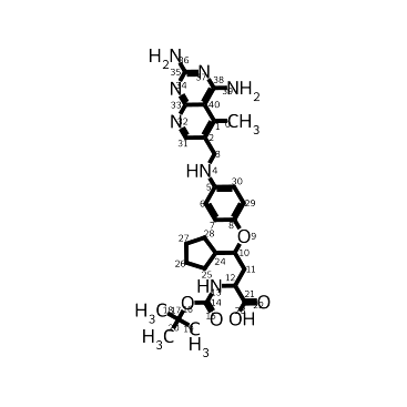 Cc1c(CNc2ccc(OC(CC(NC(=O)OC(C)(C)C)C(=O)O)C3CCCC3)cc2)cnc2nc(N)nc(N)c12